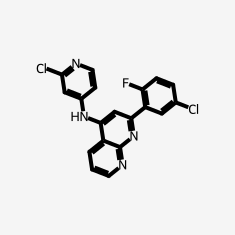 Fc1ccc(Cl)cc1-c1cc(Nc2ccnc(Cl)c2)c2cccnc2n1